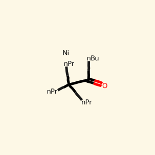 CCCCC(=O)C(CCC)(CCC)CCC.[Ni]